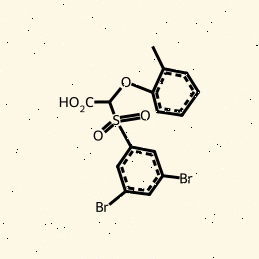 Cc1ccccc1OC(C(=O)O)S(=O)(=O)c1cc(Br)cc(Br)c1